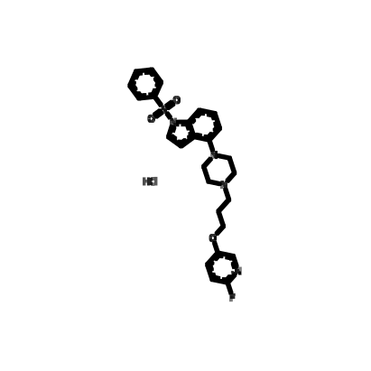 Cl.O=S(=O)(c1ccccc1)n1ccc2c(N3CCN(CCCOc4ccc(F)nc4)CC3)cccc21